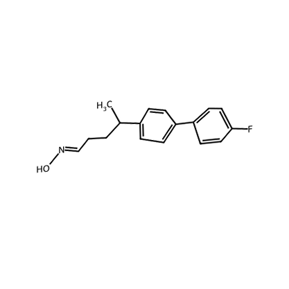 CC(CCC=NO)c1ccc(-c2ccc(F)cc2)cc1